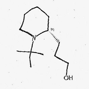 CC(C)(C)N1CCCC[C@@H]1CCCO